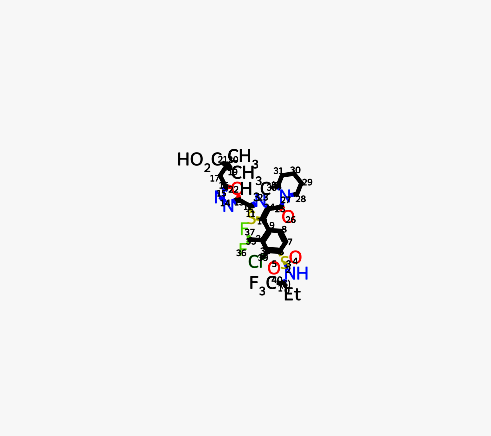 CC[C@H](NS(=O)(=O)c1ccc(-c2sc(-c3nnc(CC(C)(C)C(=O)O)o3)nc2C(=O)N2CCCC[C@@H]2C)c(C(F)F)c1Cl)C(F)(F)F